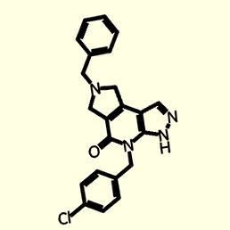 O=c1c2c(c3cn[nH]c3n1Cc1ccc(Cl)cc1)CN(Cc1ccccc1)C2